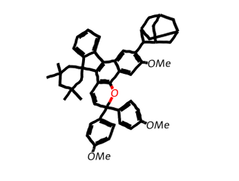 COc1ccc(C2(c3ccc(OC)cc3)C=Cc3c4c(c5cc(C6C7CC8CC(C7)CC6C8)c(OC)cc5c3O2)-c2ccccc2C42CC(C)(C)CC(C)(C)C2)cc1